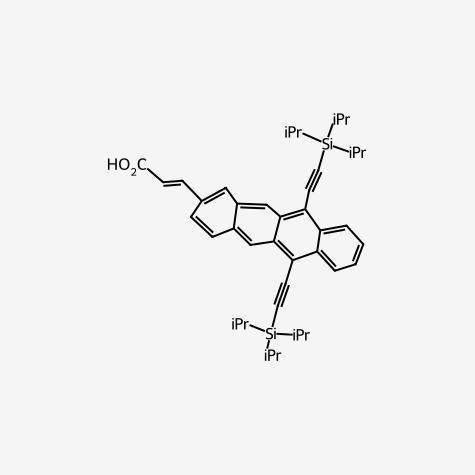 CC(C)[Si](C#Cc1c2ccccc2c(C#C[Si](C(C)C)(C(C)C)C(C)C)c2cc3cc(/C=C/C(=O)O)ccc3cc12)(C(C)C)C(C)C